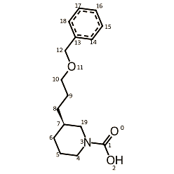 O=C(O)N1CCC[C@@H](CCCOCc2ccccc2)C1